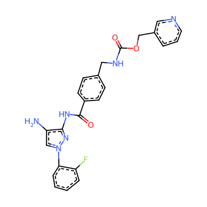 Nc1cn(-c2ccccc2F)nc1NC(=O)c1ccc(CNC(=O)OCc2cccnc2)cc1